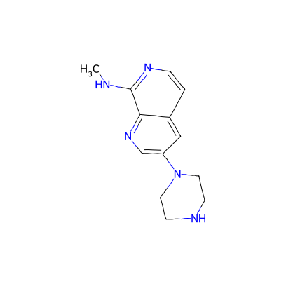 CNc1nccc2cc(N3CCNCC3)cnc12